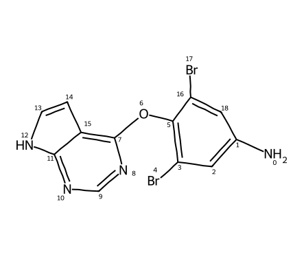 Nc1cc(Br)c(Oc2ncnc3[nH]ccc23)c(Br)c1